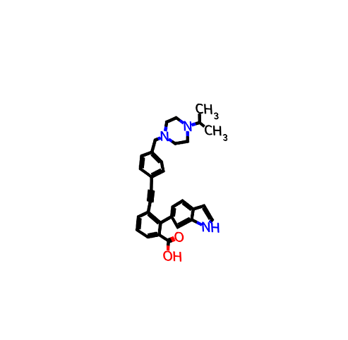 CC(C)N1CCN(Cc2ccc(C#Cc3cccc(C(=O)O)c3-c3ccc4cc[nH]c4c3)cc2)CC1